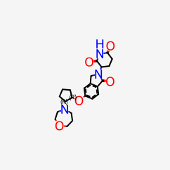 O=C1CCC(N2Cc3cc(O[C@@H]4CCC[C@H]4N4CCCOCC4)ccc3C2=O)C(=O)N1